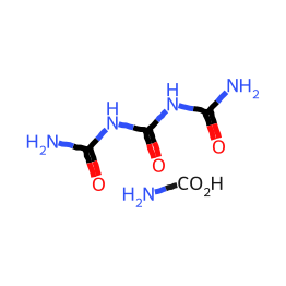 NC(=O)NC(=O)NC(N)=O.NC(=O)O